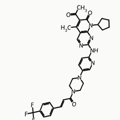 CC(=O)c1c(C)c2cnc(Nc3ccc(N4CCN(C(=O)/C=C/c5ccc(C(F)(F)F)cc5)CC4)cn3)nc2n(C2CCCC2)c1=O